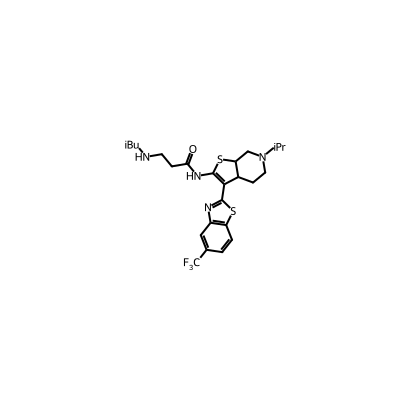 CCC(C)NCCC(=O)NC1=C(c2nc3cc(C(F)(F)F)ccc3s2)C2CCN(C(C)C)CC2S1